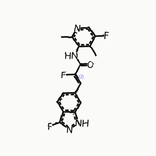 Cc1ncc(F)c(C)c1NC(=O)/C(F)=C/c1ccc2c(F)n[nH]c2c1